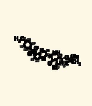 CC[C@@H]1C[C@@H](O[Si](C)(C)C(C)(C)C)C[C@@H]1C(=O)N(N)c1cnc2c(ccn2S(=O)(=O)c2ccc(C)cc2)n1